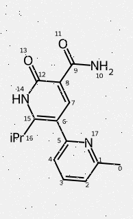 Cc1cccc(-c2cc(C(N)=O)c(=O)[nH]c2C(C)C)n1